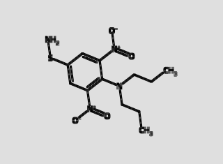 CCCN(CCC)c1c([N+](=O)[O-])cc(SN)cc1[N+](=O)[O-]